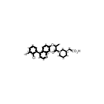 CC(Oc1ccc2c(-c3cccc(F)c3Cl)ccnc2c1)C(=O)N1CCC[C@H](CC(=O)O)C1